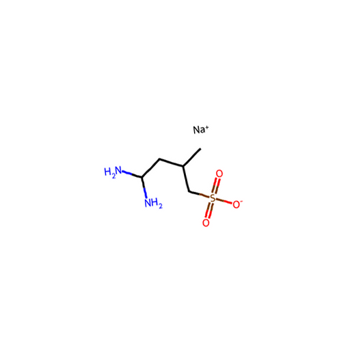 CC(CC(N)N)CS(=O)(=O)[O-].[Na+]